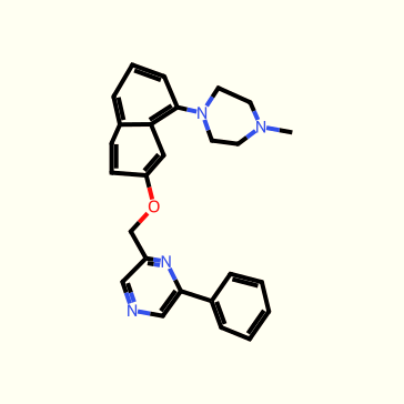 CN1CCN(c2cccc3ccc(OCc4cncc(-c5ccccc5)n4)cc23)CC1